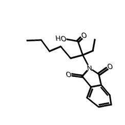 CCCCCC(CC)(C(=O)O)N1C(=O)c2ccccc2C1=O